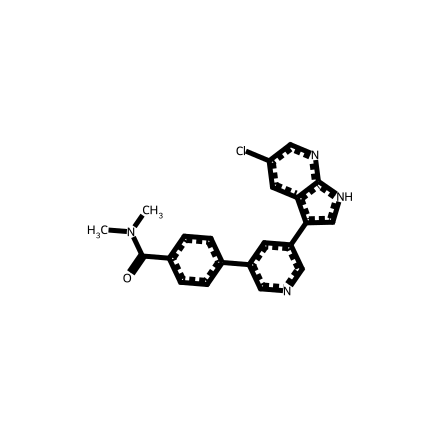 CN(C)C(=O)c1ccc(-c2cncc(-c3c[nH]c4ncc(Cl)cc34)c2)cc1